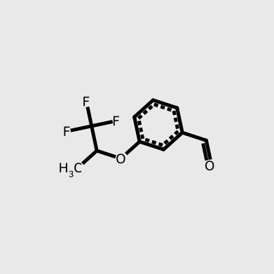 CC(Oc1cccc(C=O)c1)C(F)(F)F